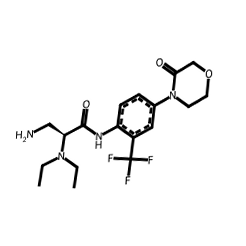 CCN(CC)[C@@H](CN)C(=O)Nc1ccc(N2CCOCC2=O)cc1C(F)(F)F